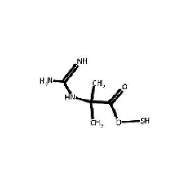 CC(C)(NC(=N)N)C(=O)OS